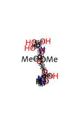 COc1cc(C2CC(c3cc(CO)c(CO)c(CO)c3)=NO2)cc(OC)c1OCCCCCCOc1cc2c(cc1CO)C(=O)N1CCC[C@H]1C=N2